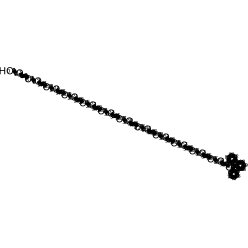 OCCOCCOCCOCCOCCOCCOCCOCCOCCOCCOCCOCCOCCOCCOCCOCCOCCOCCOCCOCCOCCOCCOCCOCCOC(c1ccccc1)(c1ccccc1)c1ccccc1